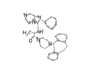 CC(Nc1c(-c2ccccc2)nc2cnccn12)C(=O)N1CCN(C2c3ccccc3CCc3ccccc32)CC1